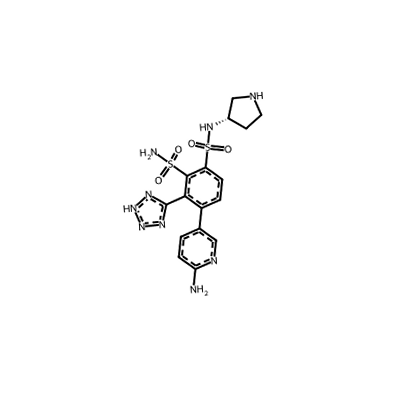 Nc1ccc(-c2ccc(S(=O)(=O)N[C@H]3CCNC3)c(S(N)(=O)=O)c2-c2nn[nH]n2)cn1